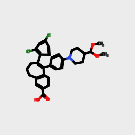 COC(OC)C1CCN(c2ccc(C3=C(c4ccc(Cl)cc4Cl)CCCc4cc(C(=O)O)ccc43)cc2)CC1